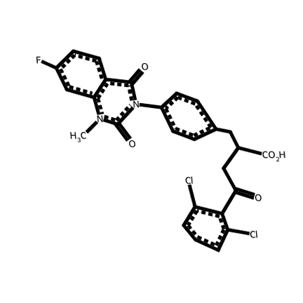 Cn1c(=O)n(-c2ccc(CC(CC(=O)c3c(Cl)cccc3Cl)C(=O)O)cc2)c(=O)c2ccc(F)cc21